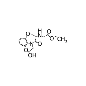 CCOC(=O)CNC1COc2ccccc2N(CC(=O)O)C1=O